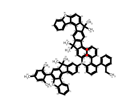 CCc1ccccc1-c1cccc(N(c2ccc3c(c2)C(C)(C)c2cc4c(cc2-3)C(C)(C)c2ccc3oc5ccccc5c3c2-4)c2ccc3c(c2)C(C)(C)c2cc(-c4c(C)cc(C)cc4C)c4oc5ccccc5c4c2-3)c1-c1ccccc1